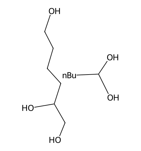 CCCCC(O)O.OCCCCC(O)CO